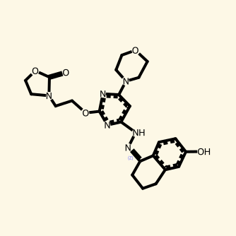 O=C1OCCN1CCOc1nc(N/N=C2/CCCc3cc(O)ccc32)cc(N2CCOCC2)n1